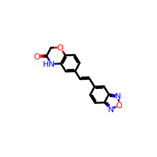 O=C1COc2ccc(/C=C/c3ccc4nonc4c3)cc2N1